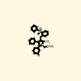 Cc1c(Cc2ccccc2S(=O)(=O)c2ccccc2)c(-c2ccccc2)c(-c2cccc(F)c2)n1CC=O